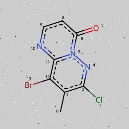 Cc1c(Cl)nn2c(=O)ccnc2c1Br